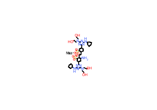 Nc1cc(-c2nc(Nc3ccccc3)nc(N(CCO)CCO)n2)cc(S(=O)(=O)[O-])c1C=Cc1ccc(-c2nc(Nc3ccccc3)nc(N(CCO)CCO)n2)cc1S(=O)(=O)[O-].[Na+].[Na+]